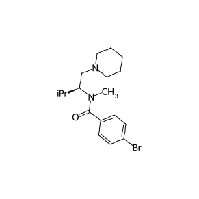 CC(C)[C@@H](CN1CCCCC1)N(C)C(=O)c1ccc(Br)cc1